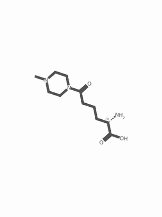 CN1CCN(C(=O)CCC[C@H](N)C(=O)O)CC1